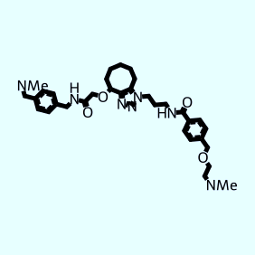 CNCCOCc1ccc(C(=O)NCCCn2nnc3c2CCCCCC3OCC(=O)NCc2ccc(CNC)cc2)cc1